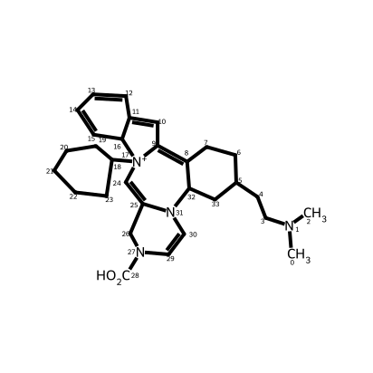 CN(C)CCC1CCC2=C3C=C4C=CC=CC4[N+]3(C3CCCCC3)C=C3CN(C(=O)O)C=CN3C2C1